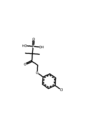 CC(C)(C(=O)COc1ccc(Cl)cc1)P(=O)(O)O